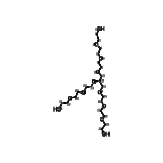 OCCOCCOCCOCC(COCCOCCOCCO)OCCOCCOCCO